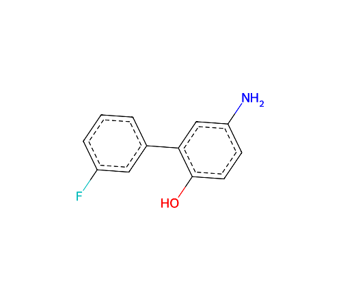 Nc1ccc(O)c(-c2cccc(F)c2)c1